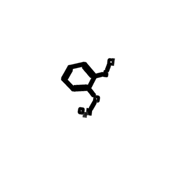 O=[N+]([O-])Oc1ccccc1SCl